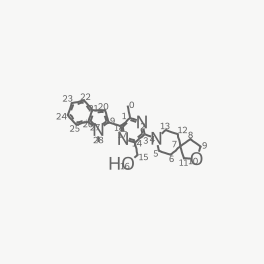 Cc1nc(N2CCC3(CCOC3)CC2)c(CO)nc1-c1cc2ccccc2n1C